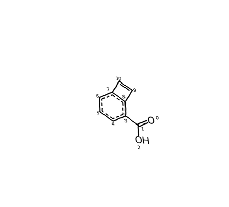 O=C(O)c1cccc2c1C=C2